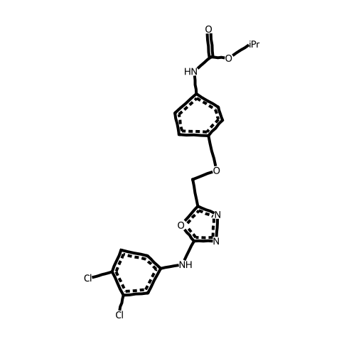 CC(C)OC(=O)Nc1ccc(OCc2nnc(Nc3ccc(Cl)c(Cl)c3)o2)cc1